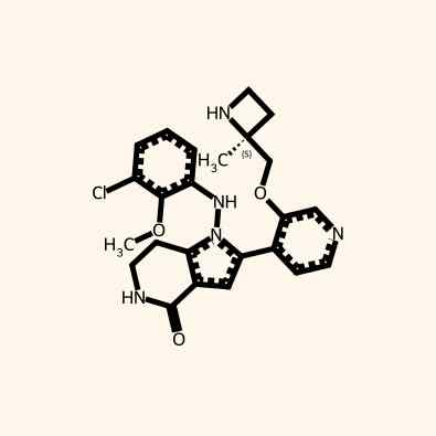 COc1c(Cl)cccc1Nn1c(-c2ccncc2OC[C@]2(C)CCN2)cc2c1CCNC2=O